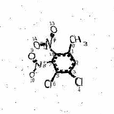 Cc1cc(Cl)c(Cl)c([N+](=O)[O-])c1[N+](=O)[O-]